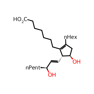 CCCCCCC1=C(CCCCCCC(=O)O)[C@@H](C=C[C@@H](O)CCCCC)[C@H](O)C1